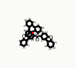 O=P(c1ccc2oc3ccccc3c2c1)(c1ccc2oc3ccccc3c2c1)c1cccc2c3ccccc3c3ccccc3c12